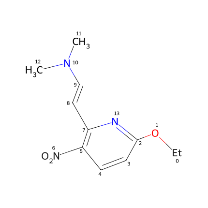 CCOc1ccc([N+](=O)[O-])c(/C=C/N(C)C)n1